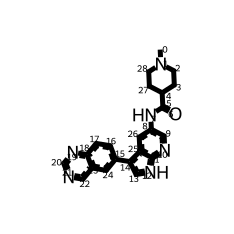 CN1CCC(C(=O)Nc2cnc3[nH]cc(-c4ccc5ncncc5c4)c3c2)CC1